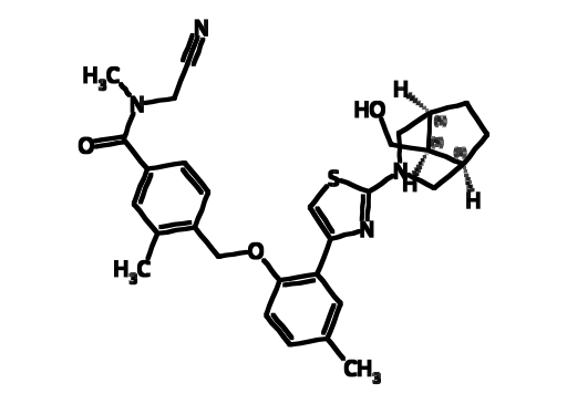 Cc1ccc(OCc2ccc(C(=O)N(C)CC#N)cc2C)c(-c2csc(N3C[C@H]4CC[C@@H](C3)[C@H]4CO)n2)c1